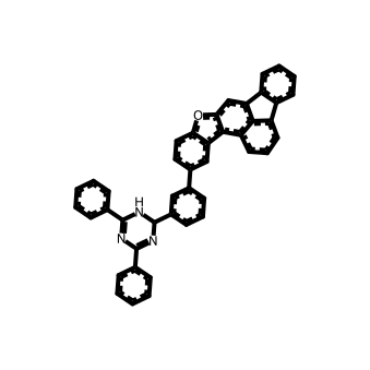 c1ccc(C2=NC(c3cccc(-c4ccc5oc6cc7c8c(cccc8c6c5c4)-c4ccccc4-7)c3)NC(c3ccccc3)=N2)cc1